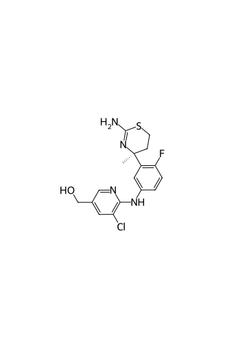 C[C@@]1(c2cc(Nc3ncc(CO)cc3Cl)ccc2F)CCSC(N)=N1